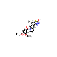 COc1ccc(C(=O)N2CCCc3cc(C4=NNC(=O)SC4C)ccc32)cc1OC